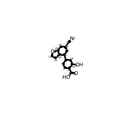 N#Cc1cc(-c2ccc(C(=O)O)c(O)c2)c2ccoc2c1